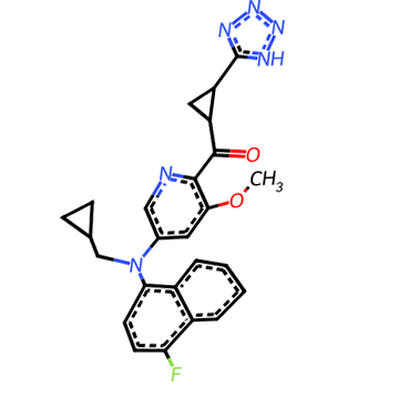 COc1cc(N(CC2CC2)c2ccc(F)c3ccccc23)cnc1C(=O)C1CC1c1nnn[nH]1